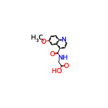 COc1ccc2nccc(C(=O)NCC(=O)O)c2c1